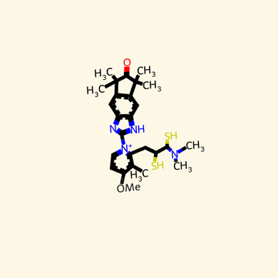 COc1cc[n+](-c2nc3cc4c(cc3[nH]2)C(C)(C)C(=O)C4(C)C)c(CC(S)C(S)N(C)C)c1C